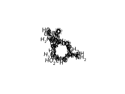 CC(C)C[C@@H]1NC(=O)[C@H]([C@@H](C)O)NC(=O)[C@H](CC(=O)O)NC(=O)[C@H](CO)NC(=O)[C@H](CCCNC(=N)N)N(C)C(=O)c2ccccc2CSC(C)(C)C(C(=O)N[C@@H](Cc2c[nH]c3ccccc23)C(=O)N[C@H](CCC(=O)OO)C(N)=O)NC1=O